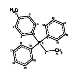 CC[P](c1ccccc1)(c1ccccc1)c1ccccc1.O